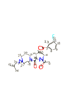 CC(=O)N1C[C@@H](Oc2cccc(F)c2)C[C@@H]1C(=O)N1CCCN(CC(C)C)CC1